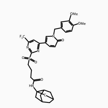 COc1ccc(Cn2cc(-c3cc(C(F)(F)F)nc(S(=O)(=O)CCCC(=O)NC45CC6CC(CC4C6)C5)n3)ccc2=O)cc1OC